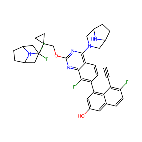 C#Cc1c(F)ccc2cc(O)cc(-c3ccc4c(N5CC6CCC(C5)N6)nc(OCC5(CN6C7CCC6CC(F)(F)C7)CC5)nc4c3F)c12